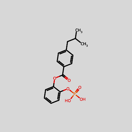 CC(C)Cc1ccc(C(=O)Oc2ccccc2OP(=O)(O)O)cc1